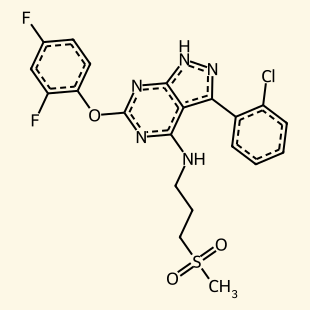 CS(=O)(=O)CCCNc1nc(Oc2ccc(F)cc2F)nc2[nH]nc(-c3ccccc3Cl)c12